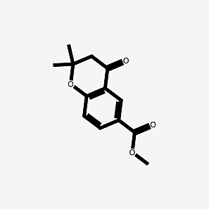 COC(=O)c1ccc2c(c1)C(=O)CC(C)(C)O2